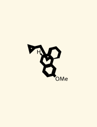 COc1ccc2c(c1)[C@@]13CCCC=C1[C@@H](C2)C(CC1CC1)CC3